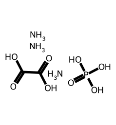 N.N.N.O=C(O)C(=O)O.O=P(O)(O)O